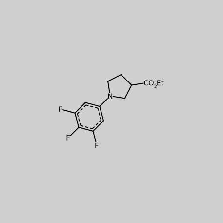 CCOC(=O)C1CCN(c2cc(F)c(F)c(F)c2)C1